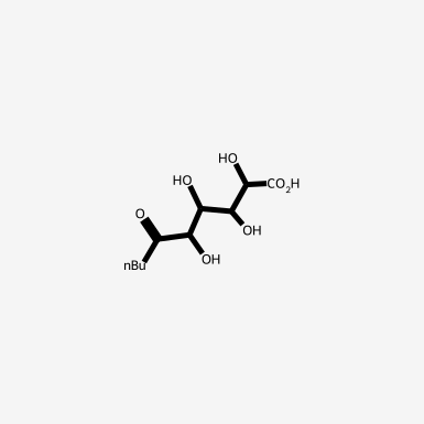 CCCCC(=O)C(O)C(O)C(O)C(O)C(=O)O